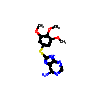 COc1cc(Sc2nc3c(N)ncnc3[nH]2)cc(OC)c1OC